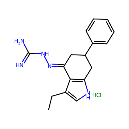 CCc1c[nH]c2c1/C(=N/NC(=N)N)CC(c1ccccc1)C2.Cl